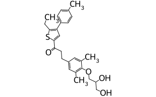 CCc1sc(C(=O)CCc2cc(C)c(OCC(O)CO)c(C)c2)cc1-c1ccc(C)cc1